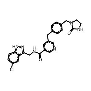 O=C(NCc1n[nH]c2ccc(Cl)cc12)c1cncc(Cc2ccc(CN3CCNC3=O)cc2)c1